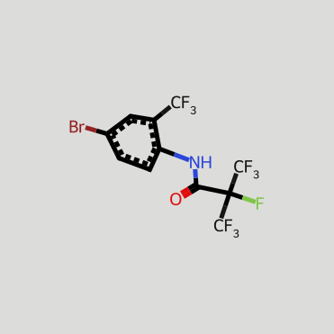 O=C(Nc1ccc(Br)cc1C(F)(F)F)C(F)(C(F)(F)F)C(F)(F)F